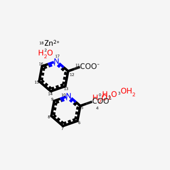 O.O.O.O.O=C([O-])c1ccccn1.O=C([O-])c1ccccn1.[Zn+2]